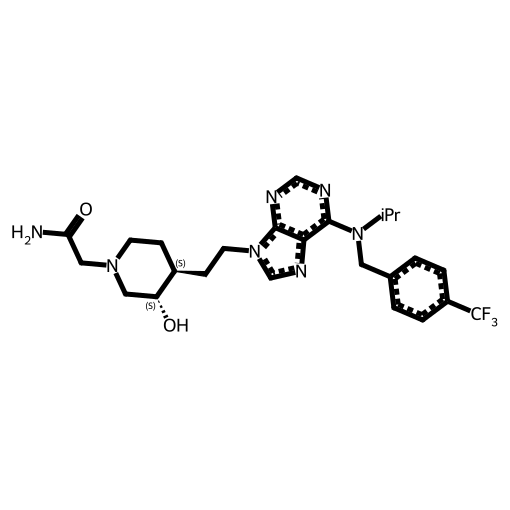 CC(C)N(Cc1ccc(C(F)(F)F)cc1)c1ncnc2c1ncn2CC[C@@H]1CCN(CC(N)=O)C[C@H]1O